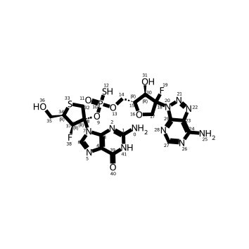 Nc1nc2c(ncn2[C@]2(OP(=O)(S)OC[C@H]3OCC(F)(n4nnc5c(N)ncnc54)[C@@H]3O)CS[C@H](CO)[C@@H]2F)c(=O)[nH]1